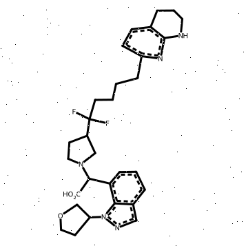 O=C(O)C(c1cccc2cnn(C3CCOC3)c12)N1CCC(C(F)(F)CCCCc2ccc3c(n2)NCCC3)C1